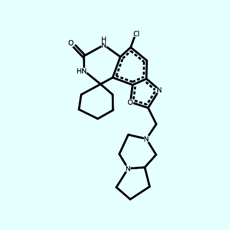 O=C1Nc2c(Cl)cc3nc(CN4CCN5CCCC5C4)oc3c2C2(CCCCC2)N1